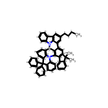 CCCCc1cc2c3c(c1)c1ccccc1n3B1c3cccc4c3N(c3ccccc3C4(c3ccccc3)c3ccccc3)c3c1c-2cc1c3-c2ccccc2C1(C)C